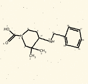 CC1(C)CN(C(=O)O)CCC1NCc1ccccc1